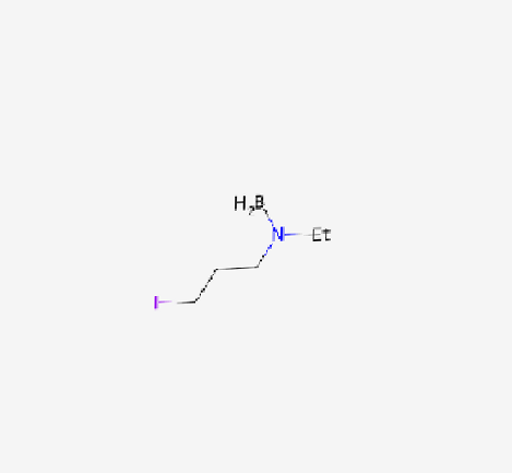 BN(CC)CCCI